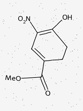 COC(=O)C1=CC([N+](=O)[O-])=C(O)CC1